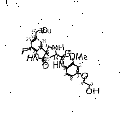 COc1cc(OCCO)ccc1NC(=O)C1CC2(CN1)C(=O)Nc1c(F)cc(CC(C)(C)C)cc12